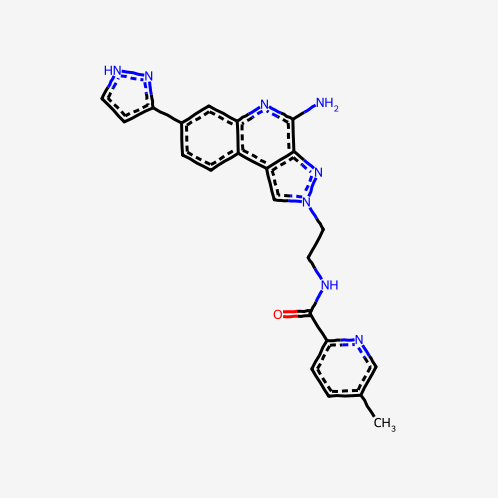 Cc1ccc(C(=O)NCCn2cc3c(n2)c(N)nc2cc(-c4cc[nH]n4)ccc23)nc1